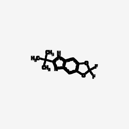 CC(C)(C)c1nc2cc3c(cc2[nH]1)OC(F)(F)O3